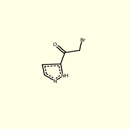 O=C(CBr)c1ccn[nH]1